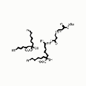 CC(C)CCCCCC(S)(CCCCCC(C)C)C(=O)[O-].CC(C)CCCCCC(S)(CCCCCC(C)C)C(=O)[O-].CCCCOC(=O)C[CH2][Sn+2][CH2]CC(=O)OCCCC